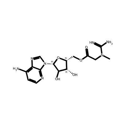 CN(CC(=O)OC[C@H]1O[C@@H](n2cnc3c(N)ccnc32)C(O)[C@H]1O)C(=N)N